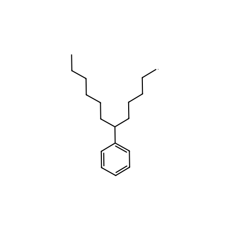 [CH2]CCCCC(CCCCCC)c1ccccc1